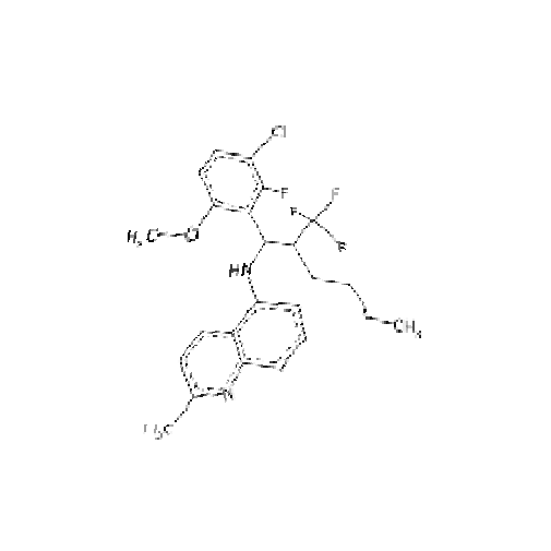 CCCCC(C(Nc1cccc2nc(C)ccc12)c1c(OC)ccc(Cl)c1F)C(F)(F)F